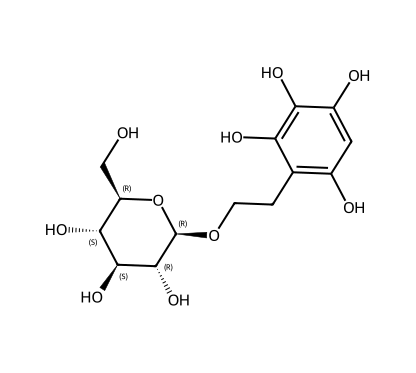 OC[C@H]1O[C@@H](OCCc2c(O)cc(O)c(O)c2O)[C@H](O)[C@@H](O)[C@@H]1O